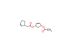 CC(=O)OC1C=CC(OC(=O)CC2C=CCC2)C1